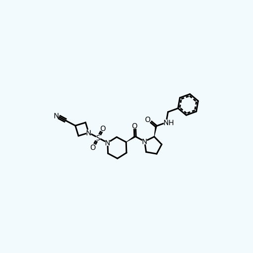 N#CC1CN(S(=O)(=O)N2CCC[C@H](C(=O)N3CCC[C@@H]3C(=O)NCc3ccccc3)C2)C1